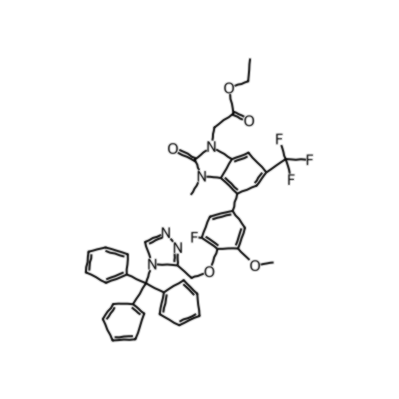 CCOC(=O)Cn1c(=O)n(C)c2c(-c3cc(F)c(OCc4nncn4C(c4ccccc4)(c4ccccc4)c4ccccc4)c(OC)c3)cc(C(F)(F)F)cc21